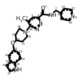 Cc1cc(C(=O)NCc2ccncc2)nnc1N1CCC(Oc2ccc3[nH]ccc3c2)CC1